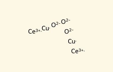 [Ce+3].[Ce+3].[Cu].[Cu].[O-2].[O-2].[O-2]